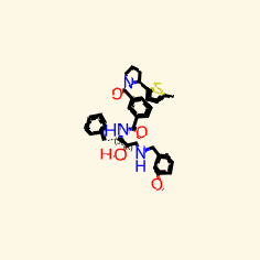 COc1cccc(CNC[C@@H](O)[C@H](Cc2ccccc2)NC(=O)c2cccc(C(=O)N3CCCC3c3ccc(C)s3)c2)c1